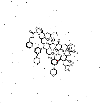 CC(C)C[C@H](C(=O)O[C@H](C)C(=O)OCc1ccccc1)N(C)C(=O)[C@@H](Cc1ccc(N2CCOCC2)cc1)OC(=O)[C@H](CC(C)C)N(C)C(=O)[C@@H](C)OC(=O)[C@H](CC(C)C)N(C)C(=O)[C@@H](Cc1ccc(N2CCOCC2)cc1)OC(=O)[C@H](CC(C)C)N(C)C(=O)OC(C)(C)C